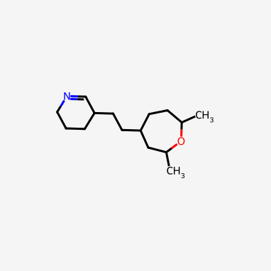 CC1CCC(CCC2C=NCCC2)CC(C)O1